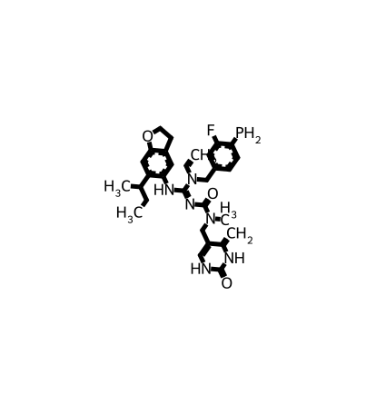 C=CN(Cc1ccc(P)c(F)c1)/C(=N\C(=O)N(C)CC1=CNC(=O)NC1=C)Nc1cc2c(cc1C(C)CC)OCC2